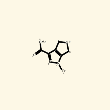 COC(=O)c1nn(C(C)C)c2c1COC2